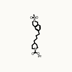 CC(C)OC(=O)N1CCC(CCCCc2ccc3c(c2)CCN(S(C)(=O)=O)C3)CC1